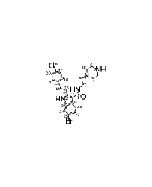 O=C(NCCN1CCNCC1)c1c(/C=C/c2ccc(Cl)cc2)[nH]c2cc(Br)ccc12